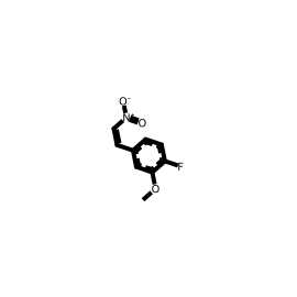 COc1cc(/C=C\[N+](=O)[O-])ccc1F